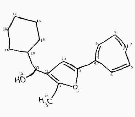 Cc1oc(-c2ccncc2)cc1C(O)C1CCCCC1